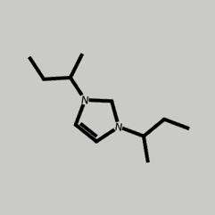 CCC(C)N1C=CN(C(C)CC)C1